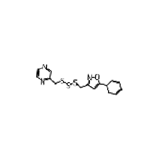 C1=CCC(c2cc(CSSSCc3cnccn3)no2)C=C1